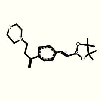 C=C(CCN1CCOCC1)c1ccc(/C=C/B2OC(C)(C)C(C)(C)O2)cc1